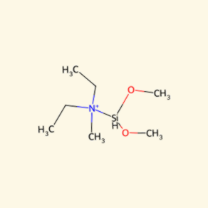 CC[N+](C)(CC)[SiH](OC)OC